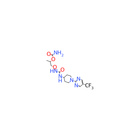 CC(CONC(=O)NC1CCN(c2ncc(C(F)(F)F)cn2)CC1)OC(N)=O